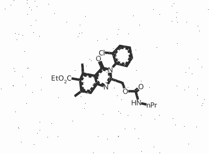 CCCNC(=O)OCc1nc2cc(C)c(C(=O)OCC)c(C)c2c(=O)n1-c1ccccc1Cl